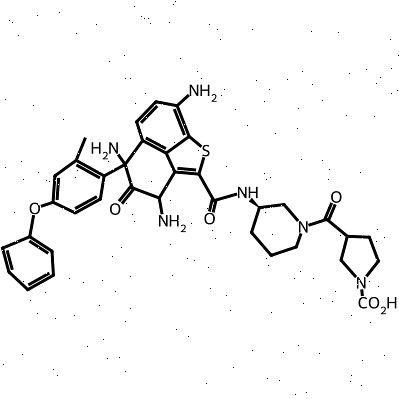 Cc1cc(Oc2ccccc2)ccc1C1(N)C(=O)C(N)c2c(C(=O)N[C@@H]3CCCN(C(=O)C4CCN(C(=O)O)C4)C3)sc3c(N)ccc1c23